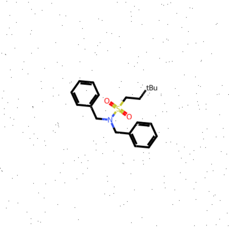 CC(C)(C)CCS(=O)(=O)N(Cc1ccccc1)Cc1ccccc1